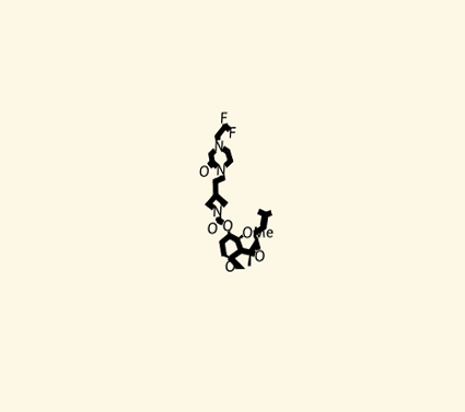 CO[C@H]1C([C@@]2(C)O[C@@H]2CC=C(C)C)[C@]2(CC[C@H]1OC(=O)N1CC(CCN3CCN(CC(F)F)CC3=O)C1)CO2